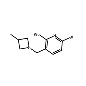 CC1CN(Cc2ccc(Br)nc2C(C)(C)C)C1